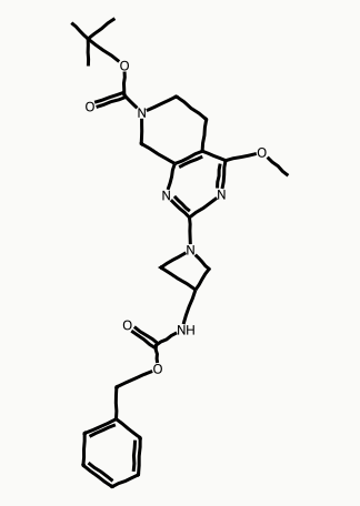 COc1nc(N2CC(NC(=O)OCc3ccccc3)C2)nc2c1CCN(C(=O)OC(C)(C)C)C2